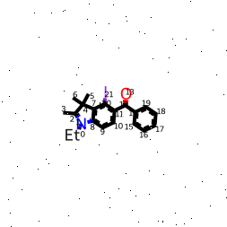 CC[N+]1=C(C)C(C)(C)c2c1ccc(C(=O)c1ccccc1)c2I